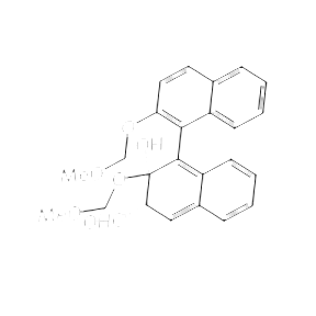 COCOc1ccc2ccccc2c1C1=c2ccccc2=C[C@H](C=O)[C@@]1(O)OCOC